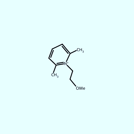 COCC[n+]1c(C)cccc1C